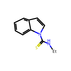 CCNC(=S)n1ccc2ccccc21